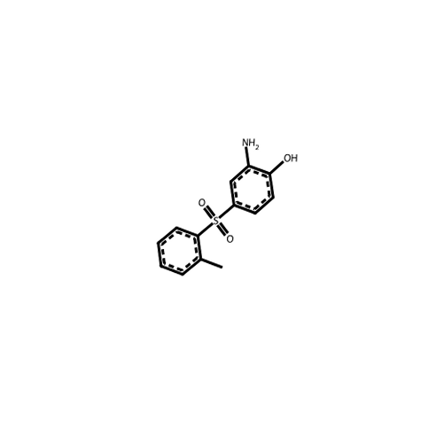 Cc1ccccc1S(=O)(=O)c1ccc(O)c(N)c1